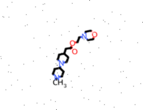 CN1CCC(N2CCC(CC(=O)OCCN3CCOCC3)CC2)CC1